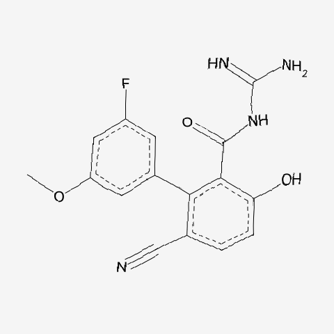 COc1cc(F)cc(-c2c(C#N)ccc(O)c2C(=O)NC(=N)N)c1